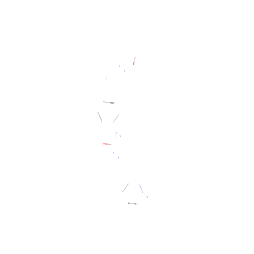 CC(C)(C)C(=O)N1CC[C@@H](Oc2ccc(NC(=O)N3CC(c4cccnc4)C3)cc2)C1